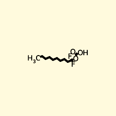 CCCCCCCCCC(F)(F)OC(=O)O